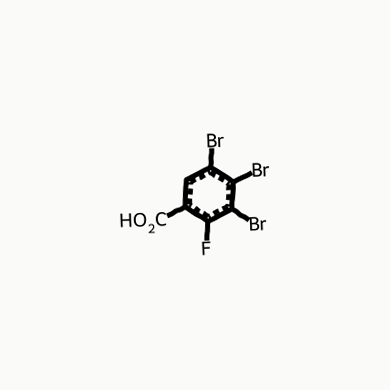 O=C(O)c1cc(Br)c(Br)c(Br)c1F